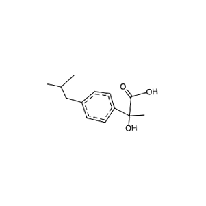 CC(C)Cc1ccc(C(C)(O)C(=O)O)cc1